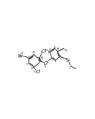 CCSc1cc(Oc2c(Cl)cc(Br)cc2Cl)ncc1C